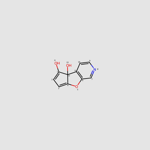 OC1=CC=C2Oc3cnccc3C12O